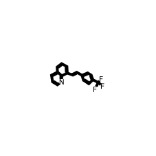 FC(F)(F)c1ccc(C=Cc2cccc3cccnc23)cc1